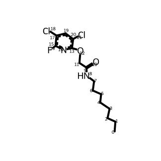 CCCCCCCCNC(=O)COc1nc(F)c(Cl)cc1Cl